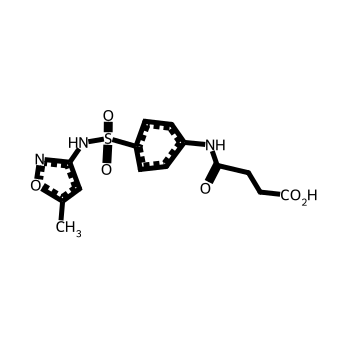 Cc1cc(NS(=O)(=O)c2ccc(NC(=O)CCC(=O)O)cc2)no1